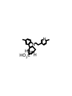 Cc1ccc2c(c1)c1c(n2CCc2ccc(C)nc2)C[C@H]2CC[C@@H]1N2C(=O)O